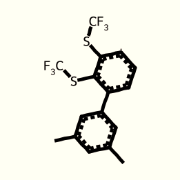 Cc1cc(C)cc(-c2cc[c]c(SC(F)(F)F)c2SC(F)(F)F)c1